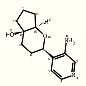 Nc1cnccc1[C@H]1C[CH][C@]2(O)CCC[C@H]2O1